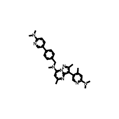 Cc1cc(N(C)Cc2ccc(-c3ccc(N(C)C)nc3)cc2)n2nc(C)c(-c3cnc(N(C)C)cc3C)c2n1